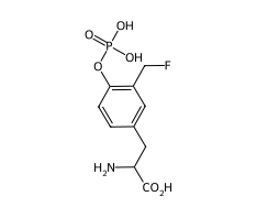 NC(Cc1ccc(OP(=O)(O)O)c(CF)c1)C(=O)O